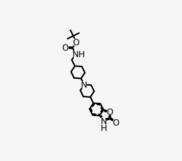 CC(C)(C)OC(=O)NCC1CCC(N2CCC(c3ccc4[nH]c(=O)oc4c3)CC2)CC1